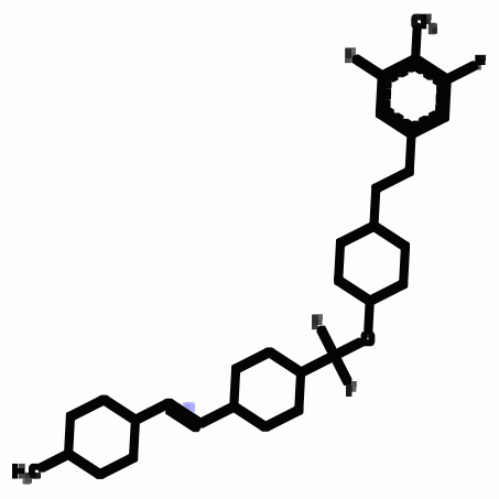 CC1CCC(/C=C/C2CCC(C(F)(F)OC3CCC(CCc4cc(F)c(C(F)(F)F)c(F)c4)CC3)CC2)CC1